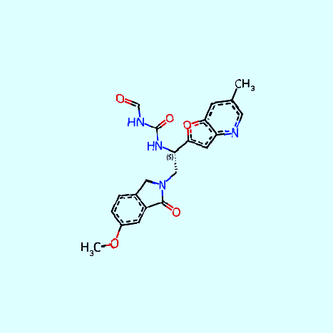 COc1ccc2c(c1)C(=O)N(C[C@H](NC(=O)NC=O)c1cc3ncc(C)cc3o1)C2